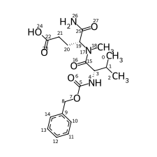 CC(C)[C@H](NC(=O)OCc1ccccc1)C(=O)N(C)[C@H](CCC(=O)O)C(N)=O